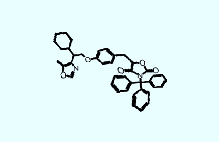 Cc1ocnc1C(COc1ccc(CC2OC(=O)N(C(c3ccccc3)(c3ccccc3)c3ccccc3)C2=O)cc1)C1CCCCC1